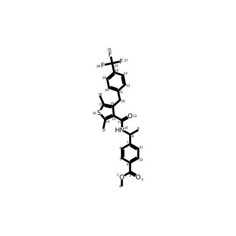 COC(=O)c1ccc(C(C)NC(=O)c2c(C)sc(C)c2Cc2ccc(C(F)(F)F)cc2)cc1